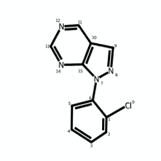 Clc1ccccc1-n1ncc2[c]ncnc21